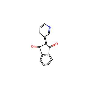 O=C1C(=C2C=NC=CC2)C(=O)c2ccccc21